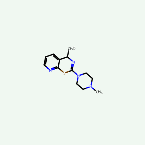 CN1CCN(C2=NC(C=O)c3cccnc3S2)CC1